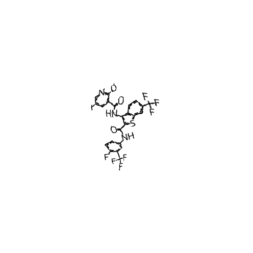 COc1ncc(I)cc1C(=O)Nc1c(C(=O)Nc2ccc(F)c(C(F)(F)F)c2)sc2cc(C(F)(F)F)ccc12